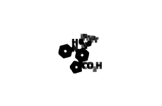 CC(C)CN(CC(C)C)c1ccc(C2(C(=O)O)CCCC2)cc1Nc1ccccc1